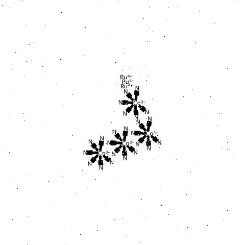 N#[C][Co-3]([C]#N)([C]#N)([C]#N)([C]#N)[C]#N.N#[C][Co-3]([C]#N)([C]#N)([C]#N)([C]#N)[C]#N.N#[C][Co-3]([C]#N)([C]#N)([C]#N)([C]#N)[C]#N.N#[C][Co-3]([C]#N)([C]#N)([C]#N)([C]#N)[C]#N.[Ru+4].[Ru+4].[Ru+4]